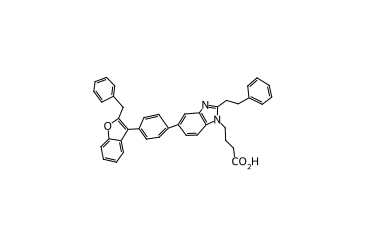 O=C(O)CCCn1c(CCc2ccccc2)nc2cc(-c3ccc(-c4c(Cc5ccccc5)oc5ccccc45)cc3)ccc21